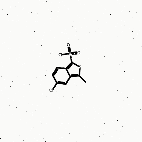 Cc1sc(S(=O)(=O)Cl)c2ccc(Cl)cc12